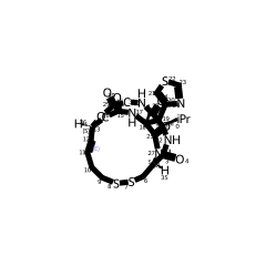 CC(C)[C@H]1NC(=O)[C@H]2CSSCC/C=C/[C@H](CC(=O)N[C@H](Cc3cscn3)C(=O)N2)OC(=O)CNC1=O